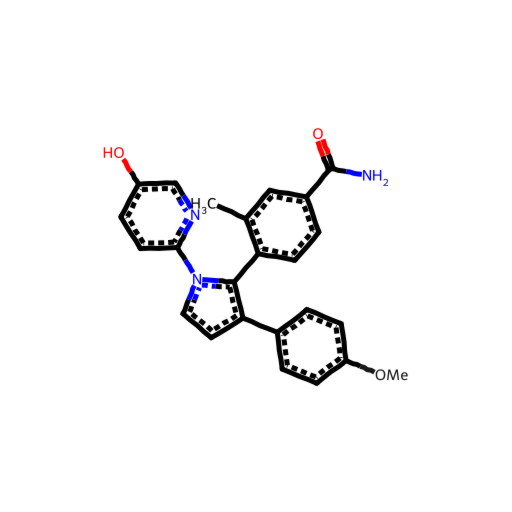 COc1ccc(-c2ccn(-c3ccc(O)cn3)c2-c2ccc(C(N)=O)cc2C)cc1